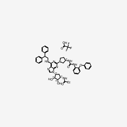 CCC(=O)N[C@H]1C[C@@H](n2cnc3c(NCC(c4ccccc4)c4ccccc4)nc(N4CC[C@@H](NC(=O)Nc5ccccc5Oc5ccccc5)C4)nc32)[C@H](O)[C@@H]1O.O=C(O)C(F)(F)F